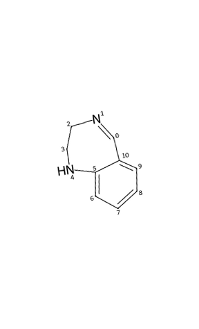 C1=NCCNc2ccccc21